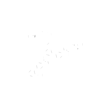 Cc1cc(Cl)ccc1-c1ccc(NC(=O)C(Cc2ccc(C(=O)NCCS(=O)(=O)O)cc2)c2ccc(C3=CCC(C(C)(C)C)CC3)cc2)cc1.N